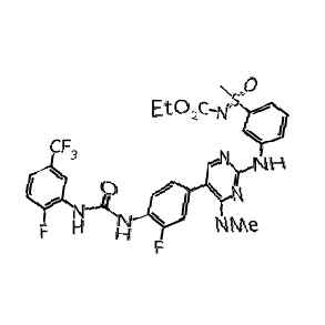 CCOC(=O)N=S(C)(=O)c1cccc(Nc2ncc(-c3ccc(NC(=O)Nc4cc(C(F)(F)F)ccc4F)c(F)c3)c(NC)n2)c1